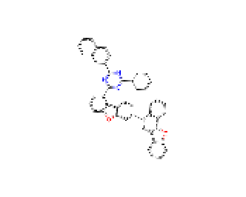 C1=CCC(c2nc(-c3ccc4ccccc4c3)nc(-c3cccc4oc5cc(-c6cc7c8ccccc8oc7c7ccccc67)ccc5c34)n2)C=C1